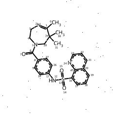 CC1=NCCN(C(=O)c2ccc(NS(=O)(=O)c3cccc4cccnc34)cc2)CC1(C)C